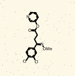 CON=C(CCC(=O)Oc1cccnc1)c1ccc(Cl)c(Cl)c1